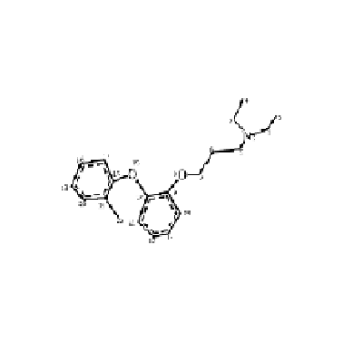 CCN(CC)CCCOc1ccccc1Oc1ccccc1C